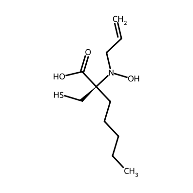 C=CCN(O)[C@](CS)(CCCCC)C(=O)O